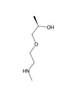 CNCCOC[C@@H](C)O